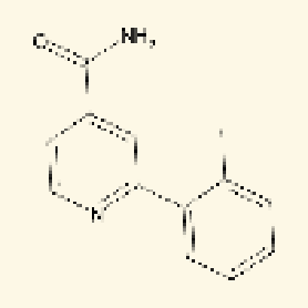 Cc1ccccc1-c1cc(C(N)=O)ccn1